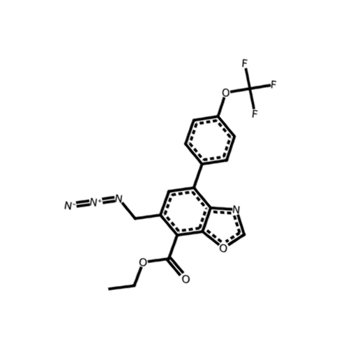 CCOC(=O)c1c(CN=[N+]=[N-])cc(-c2ccc(OC(F)(F)F)cc2)c2ncoc12